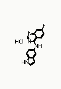 Cl.Fc1ccc2c(Nc3ccc4[nH]ccc4c3)ncnc2c1